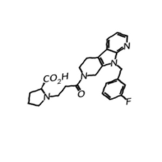 O=C(O)[C@@H]1CCCN1CCC(=O)N1CCc2c(n(Cc3cccc(F)c3)c3ncccc23)C1